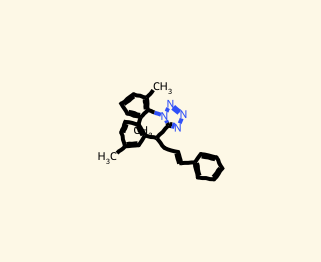 Cc1cccc(C(CC=Cc2ccccc2)c2nnnn2-c2c(C)cccc2C)c1